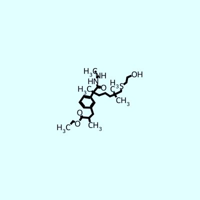 CCOC(=O)C(C)Cc1cccc(C(C)(CCCC(C)(C)CSCCO)C(=O)NNC)c1